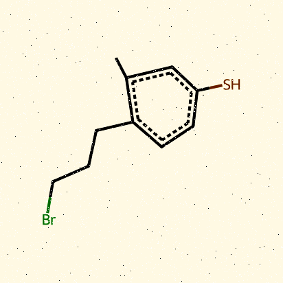 Cc1cc(S)ccc1CCCBr